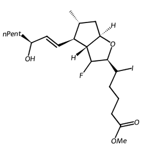 CCCCC[C@H](O)/C=C/[C@@H]1[C@H]2C(F)[C@H](C(I)CCCC(=O)OC)O[C@@H]2C[C@H]1C